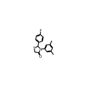 Cc1cc(C)cc(N2C(=O)CSC2c2ccc(F)cc2)c1